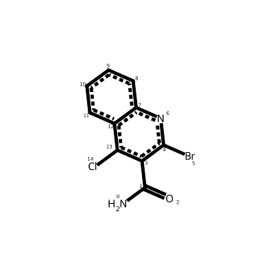 NC(=O)c1c(Br)nc2ccccc2c1Cl